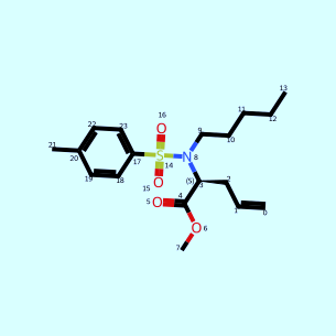 C=CC[C@@H](C(=O)OC)N(CCCCC)S(=O)(=O)c1ccc(C)cc1